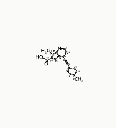 Cc1ccc(C#Cc2ncnc3c2cc(C(=O)O)n3C)cc1